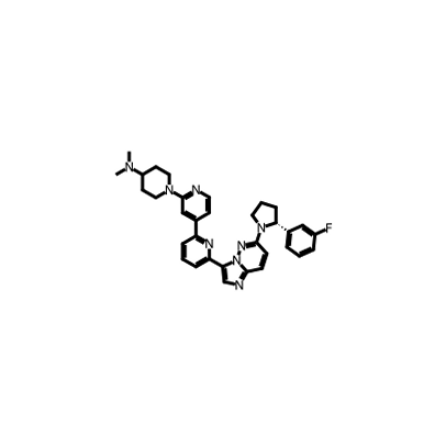 CN(C)C1CCN(c2cc(-c3cccc(-c4cnc5ccc(N6CCC[C@@H]6c6cccc(F)c6)nn45)n3)ccn2)CC1